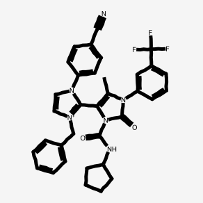 Cc1c(-c2n(-c3ccc(C#N)cc3)cc[n+]2Cc2ccccc2)n(C(=O)NC2CCCC2)c(=O)n1-c1cccc(C(F)(F)F)c1